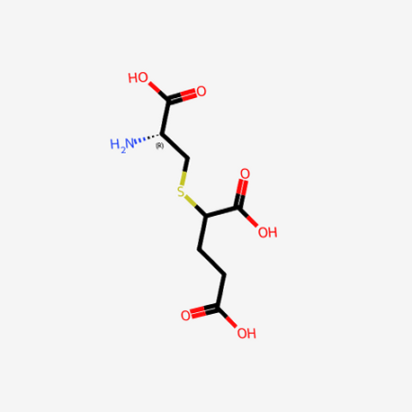 N[C@@H](CSC(CCC(=O)O)C(=O)O)C(=O)O